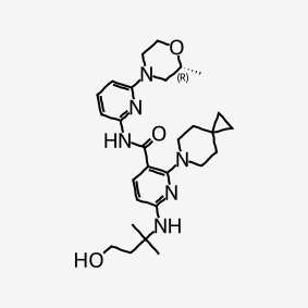 C[C@@H]1CN(c2cccc(NC(=O)c3ccc(NC(C)(C)CCO)nc3N3CCC4(CC3)CC4)n2)CCO1